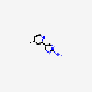 CC1C=CN=C(c2cnc(N)nc2)C1